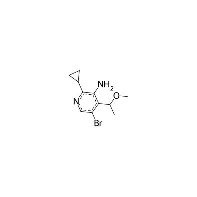 COC(C)c1c(Br)cnc(C2CC2)c1N